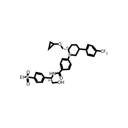 CCS(=O)(=O)c1ccc([C@H](CO)NC(=O)c2ccc(N3CC(c4ccc(C(F)(F)F)cc4)CC[C@H]3COC3CC3)cc2)cc1